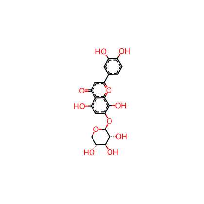 O=c1cc(-c2ccc(O)c(O)c2)oc2c(O)c(O[C@@H]3OC[C@@H](O)[C@H](O)[C@H]3O)cc(O)c12